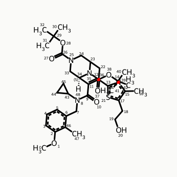 COc1cccc(CN(C(=O)C2=C(c3nc(C)c(CCO)s3)CC3CN(C(=O)OC(C)(C)C)C[C@H]2N3C(=O)OC(C)(C)C)C2CC2)c1C